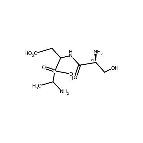 CC(N)P(=O)(O)C(CC(=O)O)NC(=O)[C@@H](N)CO